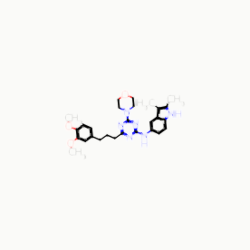 COc1ccc(CCCc2nc(Nc3ccc4[nH]c(C)c(C)c4c3)nc(N3CCOCC3)n2)cc1OC